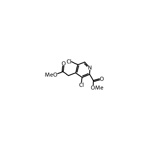 COC(=O)Cc1c(Cl)cnc(C(=O)OC)c1Cl